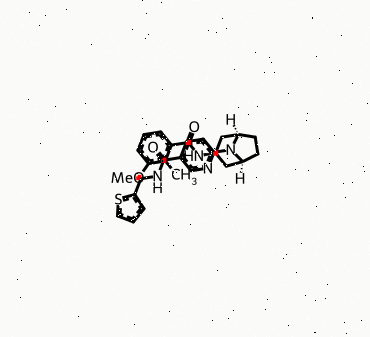 COc1cccc(C(=O)N[C@H]2C[C@H]3CC[C@@H](C2)N3c2ccc(C(=O)NCc3cccs3)cn2)c1C